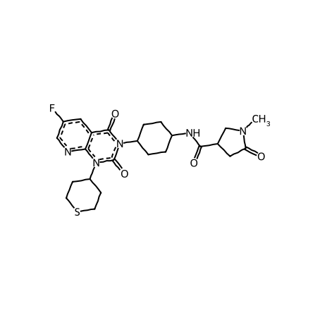 CN1CC(C(=O)NC2CCC(n3c(=O)c4cc(F)cnc4n(C4CCSCC4)c3=O)CC2)CC1=O